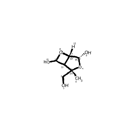 C[C@]1(CO)O[C@@H](O)[C@H]2OC(O)C21